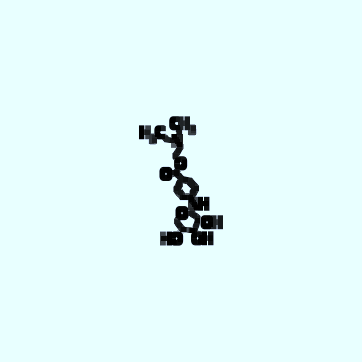 CCN(CC)CCOC(=O)c1ccc(N[C@@H]2OC[C@@H](O)[C@@H](O)[C@H]2O)cc1